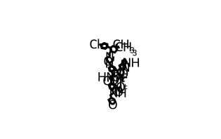 CC1(C)CCC(CN2CCN(c3ccc(C(=O)NS(=O)(=O)c4ccc(NCC5CCOCC5)c([N+](=O)[O-])c4)c(N4C[C@H](C(F)(F)F)Oc5nc6[nH]ccc6cc54)c3)CC2)=C(c2ccc(Cl)cc2)C1